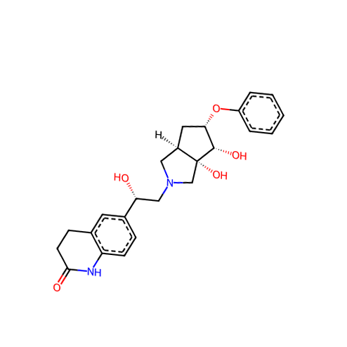 O=C1CCc2cc([C@H](O)CN3C[C@H]4C[C@H](Oc5ccccc5)[C@H](O)[C@@]4(O)C3)ccc2N1